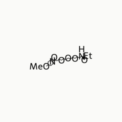 CCC(=O)NCCOCCOCCOCCC(=O)N1CCC(OC)CC1